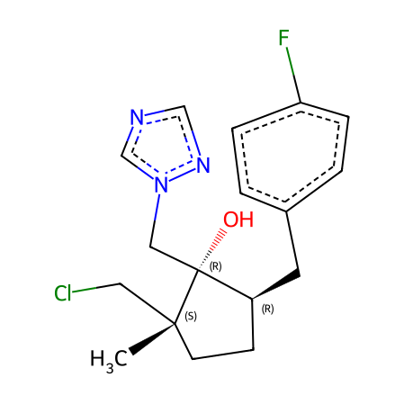 C[C@]1(CCl)CC[C@H](Cc2ccc(F)cc2)[C@]1(O)Cn1cncn1